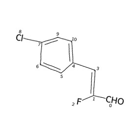 O=CC(F)=Cc1ccc(Cl)cc1